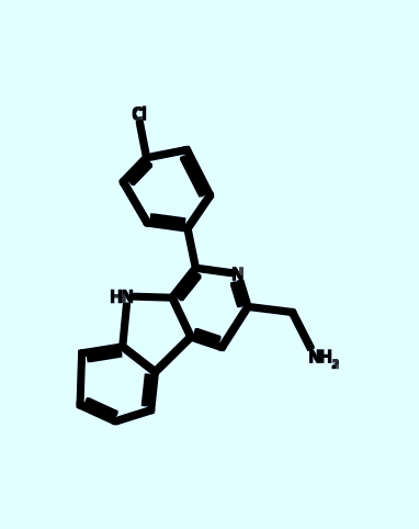 NCc1cc2c([nH]c3ccccc32)c(-c2ccc(Cl)cc2)n1